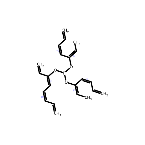 C=C/C=C\C=C(/C=C)OP(OC(/C=C\C=C)=C/C)OC(/C=C\C=C)=C/C